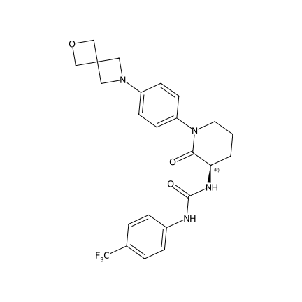 O=C(Nc1ccc(C(F)(F)F)cc1)N[C@@H]1CCCN(c2ccc(N3CC4(COC4)C3)cc2)C1=O